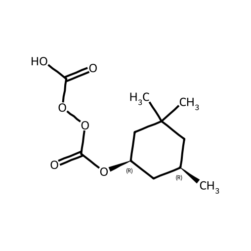 C[C@H]1C[C@@H](OC(=O)OOC(=O)O)CC(C)(C)C1